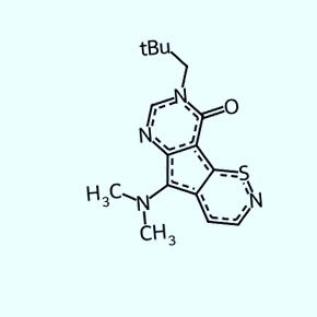 CN(C)c1c2ccnsc-2c2c(=O)n(CC(C)(C)C)cnc12